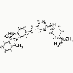 Cc1ccncc1S(=O)(=O)Nc1ccc(/C=C/c2cnc(NC3CCC(N(C)C)CC3)nc2)cn1